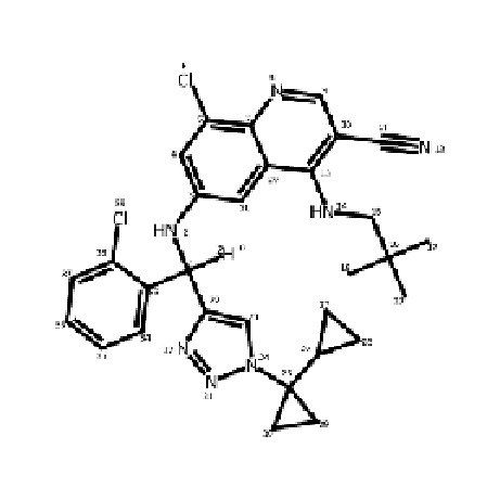 [2H]C(Nc1cc(Cl)c2ncc(C#N)c(NCC(C)(C)C)c2c1)(c1cn(C2(C3CC3)CC2)nn1)c1ccccc1Cl